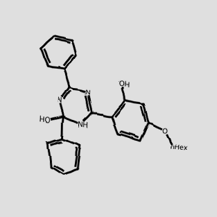 CCCCCCOc1ccc(C2=NC(c3ccccc3)=NC(O)(c3ccccc3)N2)c(O)c1